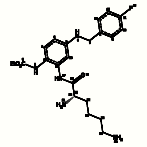 CCOC(=O)Nc1ccc(NCc2ccc(F)cc2)cc1NC(=O)[C@@H](N)CCCCN